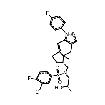 C[C@H](O)CN(C[C@H]1CCC2=Cc3c(cnn3-c3ccc(F)cc3)C[C@@]21C)S(=O)(=O)c1ccc(F)c(Cl)c1